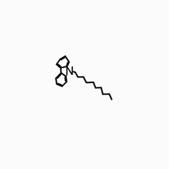 CCCCCCCCCCn1c2ccccc2c2ccccc21